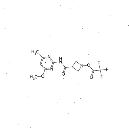 COc1cc(C)nc(NC(=O)C2CN(OC(=O)C(F)(F)F)C2)n1